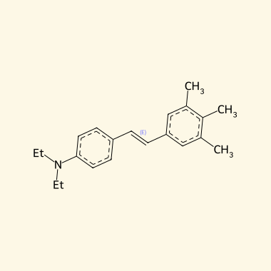 CCN(CC)c1ccc(/C=C/c2cc(C)c(C)c(C)c2)cc1